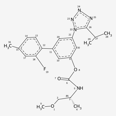 COC[C@@H](C)NC(=O)Oc1cc(-c2ccc(C)cc2F)cc(-n2nnnc2C(C)C)c1